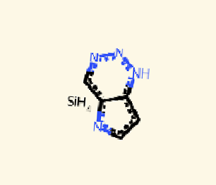 [SiH4].c1cc2[nH]nncc-2n1